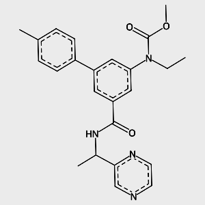 CCN(C(=O)OC)c1cc(C(=O)NC(C)c2cnccn2)cc(-c2ccc(C)cc2)c1